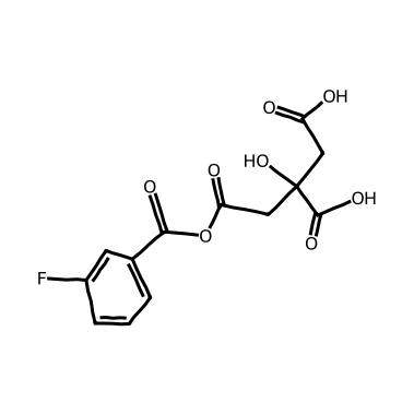 O=C(O)CC(O)(CC(=O)OC(=O)c1cccc(F)c1)C(=O)O